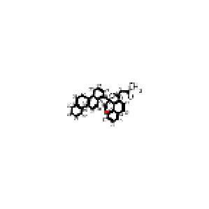 CC(=O)CC(=O)OC(C=O)(c1cccc2ccccc12)c1cccc2c3c(ccc12)C1=C(CCC=C1)CC3